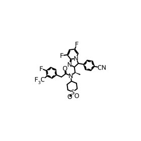 C[C@H](C1N=C2C(F)=CC(F)=CN2C1c1ccc(C#N)cc1)N(C(=O)Cc1ccc(F)c(C(F)(F)F)c1)C1CCS(=O)(=O)CC1